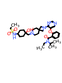 CCN(C(=O)c1ccccc1Oc1cncnc1N1CC2(CCN(CC3(O)CCC(NS(=O)(=O)CC)CC3)CC2)C1)C(C)C